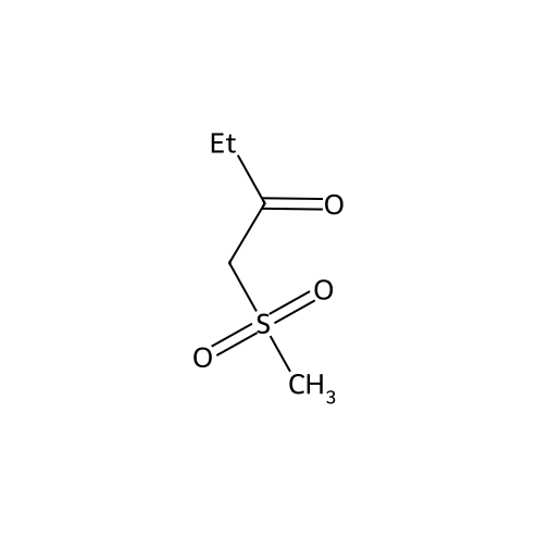 CCC(=O)CS(C)(=O)=O